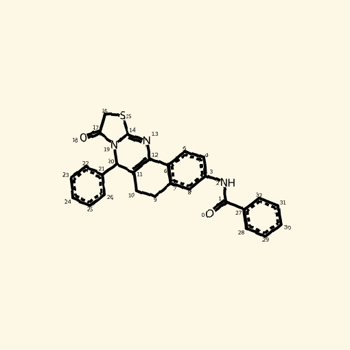 O=C(Nc1ccc2c(c1)CCC1=C2N=C2SCC(=O)N2C1c1ccccc1)c1ccccc1